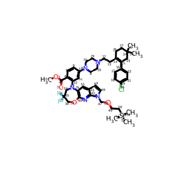 COC(=O)c1ccc(N2CCN(CCC3=C(c4ccc(Cl)cc4)CC(C)(C)CC3)CC2)cc1N1CC(F)(F)COc2nc3c(ccn3COCC[Si](C)(C)C)cc21